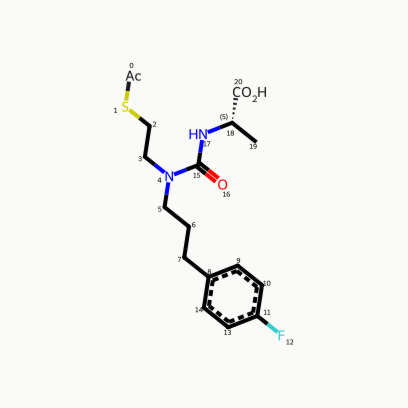 CC(=O)SCCN(CCCc1ccc(F)cc1)C(=O)N[C@@H](C)C(=O)O